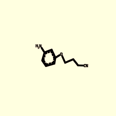 N#CCCCOc1cccc(N)c1